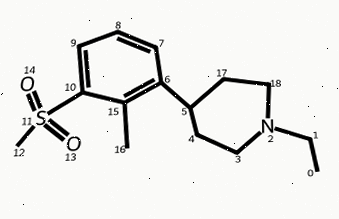 CCN1CCC(c2cccc(S(C)(=O)=O)c2C)CC1